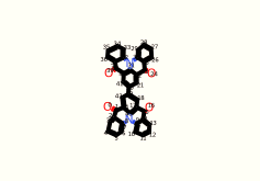 O=c1c2ccccc2n2c3ccccc3c(=O)c3cc(-c4cc5c(=O)c6ccccc6n6c7ccccc7c(=O)c(c4)c56)cc1c32